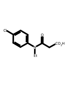 CCN(C(=O)CC(=O)O)c1ccc(Cl)cc1